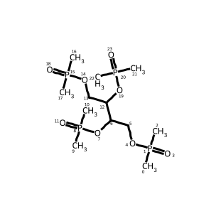 CP(C)(=O)OCC(OP(C)(C)=O)C(COP(C)(C)=O)OP(C)(C)=O